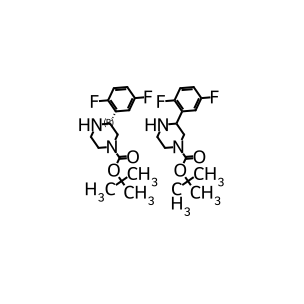 CC(C)(C)OC(=O)N1CCNC(c2cc(F)ccc2F)C1.CC(C)(C)OC(=O)N1CCN[C@H](c2cc(F)ccc2F)C1